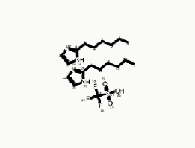 CCCCCCc1ncc[nH]1.CCCCCCc1ncc[nH]1.O=S(=O)(O)C(F)(F)F